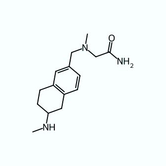 CNC1CCc2cc(CN(C)CC(N)=O)ccc2C1